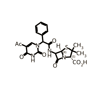 CC(=O)c1cn(C(C(=O)NC2C(=O)N3[C@@H]2SC(C)(C)[C@@H]3C(=O)O)c2ccccc2)c(=O)[nH]c1=O